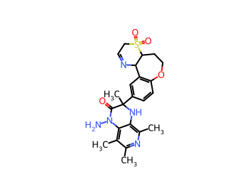 Cc1nc(C)c2c(c1C)N(N)C(=O)C(C)(c1ccc3c(c1)C1N=CCS(=O)(=O)C1CCO3)N2